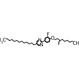 CCCCCCCCCCCCCc1cnc(-c2ccc(OCCC(F)CCCCCC)c(F)c2)nc1